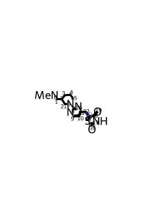 CNCC1CCCN(c2nccc(/C=C3\SC(=O)NC3=O)n2)C1